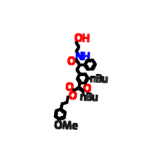 CCCCc1oc2c(CCCC)cc(CC(C(=O)NCCCO)c3ccccc3)cc2c1C(=O)OCCCc1ccc(OC)cc1